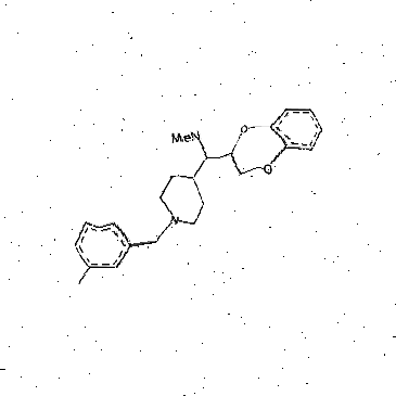 CNC(C1CCN(Cc2cccc(C)c2)CC1)C1COc2ccccc2O1